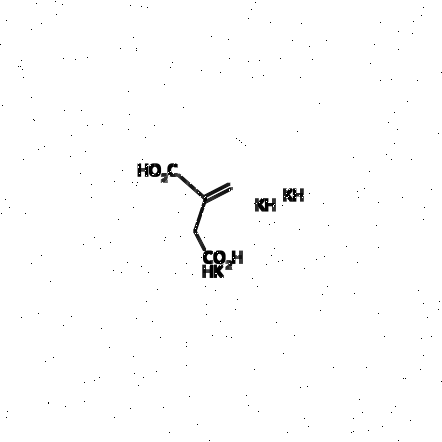 C=C(CC(=O)O)C(=O)O.[KH].[KH].[KH]